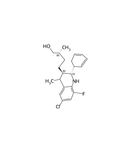 CC1c2cc(Cl)cc(F)c2N[C@@H](C2C=CC=CC2)[C@@H]1CC[C@@H](C)CO